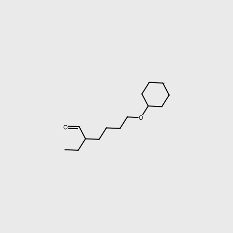 CCC([C]=O)CCCCOC1CC[CH]CC1